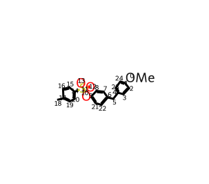 COc1ccc(Cc2ccc(OS(=O)(=O)c3ccc(C)cc3)cc2)cc1